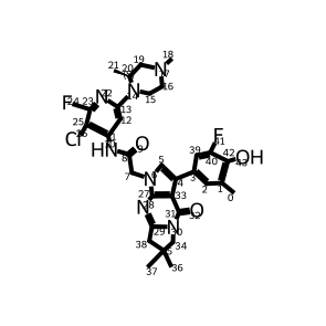 Cc1cc(-c2cn(CC(=O)Nc3cc(N4CCN(C)C[C@@H]4C)nc(F)c3Cl)c3nc4n(c(=O)c23)CC(C)(C)C4)cc(F)c1O